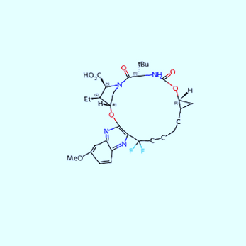 CC[C@@H]1[C@@H]2CN(C(=O)[C@H](C(C)(C)C)NC(=O)O[C@@H]3CC3CCCCC(F)(F)c3nc4ccc(OC)cc4nc3O2)[C@@H]1C(=O)O